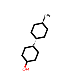 CCC[C@H]1CC[C@H](C2CCC(O)CC2)CC1